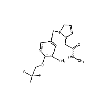 CNC(=O)CN1C=CCN1Cc1cnc(OCC(F)(F)F)c(C)c1